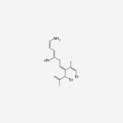 C=C(C)C(CC)C(=C/C/C(=C/C=C\N)CCC)/C(C)=C\CC